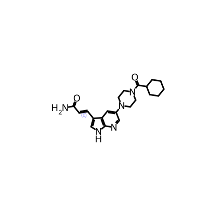 NC(=O)/C=C/c1c[nH]c2ncc(N3CCN(C(=O)C4CCCCC4)CC3)cc12